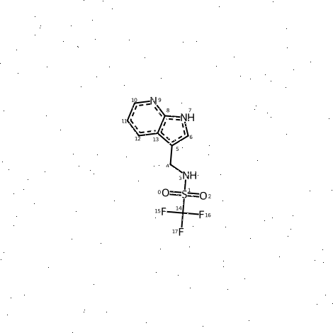 O=S(=O)(NCc1c[nH]c2ncccc12)C(F)(F)F